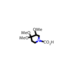 COC1CN(C(=O)O)CCC1(OC)OC